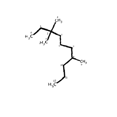 [CH2]CC(C)(C)CCCC(C)CCC